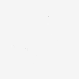 O=C(O)c1ccc(C(=O)O)cc1.O=C(O)c1cccc(C(=O)O)c1.[NaH]